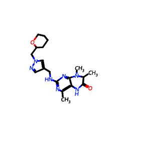 Cc1nc(NCc2cnn(CC3CCCCO3)c2)nc2c1NC(=O)C(C)N2C